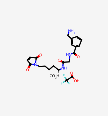 NCc1cccc(C(=O)NCC(=O)N[C@@H](CCCCN2C(=O)C=CC2=O)C(=O)O)c1.O=C(O)C(F)(F)F